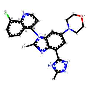 CCc1nc2c(-c3nnc(C)[nH]3)cc(N3CCOCC3)cc2n1-c1ccnc2c(Cl)cccc12